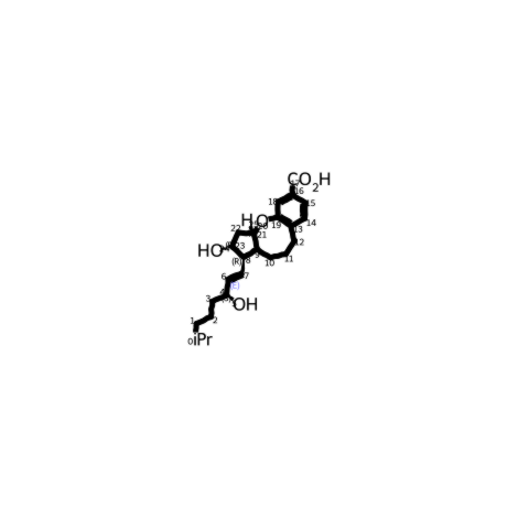 CC(C)CCC[C@H](O)/C=C/[C@@H]1C2CCCc3ccc(C(=O)O)cc3O[C@H]2C[C@H]1O